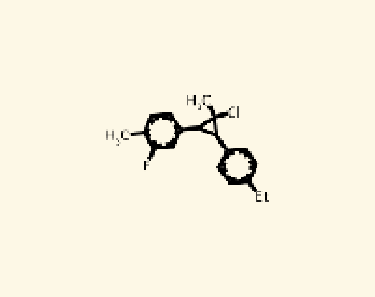 CCc1ccc(C2C(c3ccc(C)c(F)c3)C2(C)Cl)cc1